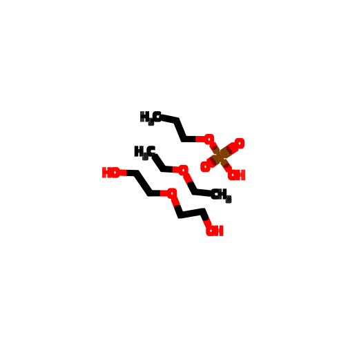 CCCOS(=O)(=O)O.CCOCC.OCCOCCO